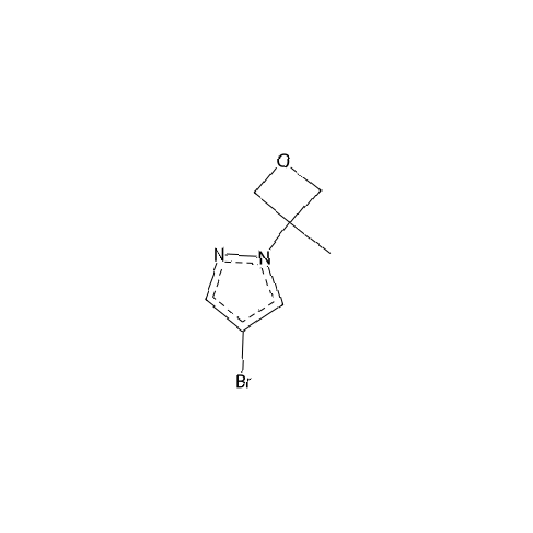 CC1(n2cc(Br)cn2)COC1